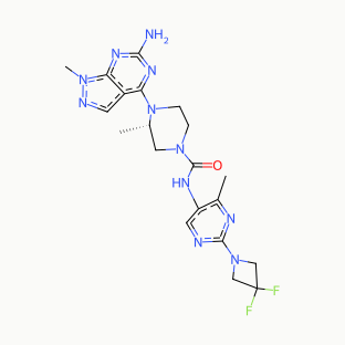 Cc1nc(N2CC(F)(F)C2)ncc1NC(=O)N1CCN(c2nc(N)nc3c2cnn3C)[C@@H](C)C1